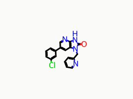 O=c1[nH]c2ncc(-c3cccc(Cl)c3)cc2n1Cc1ccccn1